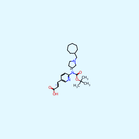 CC(C)(C)OC(=O)N(c1ccc(/C=C/C(=O)O)cn1)[C@@H]1CCN(CC2CCCCCC2)C1